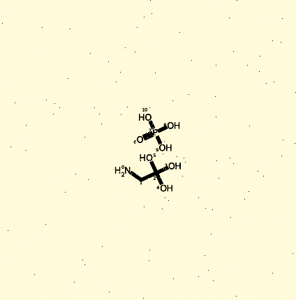 NCC(O)(O)O.O=P(O)(O)O